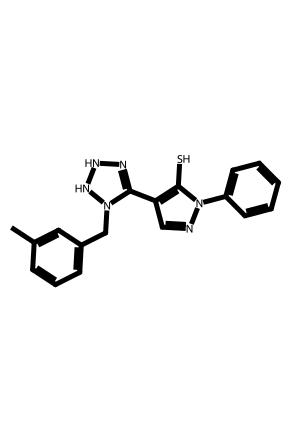 Cc1cccc(CN2NNN=C2c2cnn(-c3ccccc3)c2S)c1